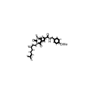 COc1ccc(CNC(=O)c2cc3c(=O)n(CC[C@H](C)CCC=C(C)C)c(=O)n(C)c3s2)cc1